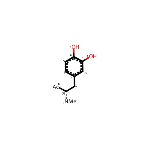 CN[C@@H](Cc1ccc(O)c(O)c1)C(C)=O